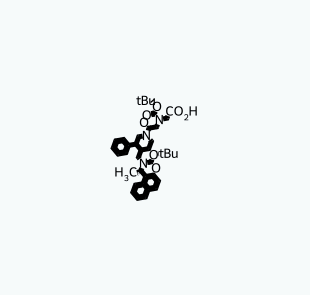 C[C@H](c1cccc2ccccc12)N(CC1CCN(C(=O)CN(CC(=O)O)C(=O)OC(C)(C)C)CC1c1ccccc1)C(=O)OC(C)(C)C